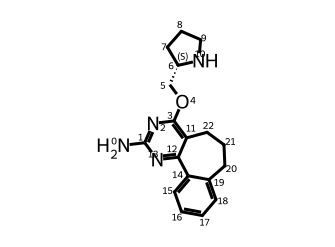 Nc1nc(OC[C@@H]2CCCN2)c2c(n1)-c1ccccc1CCC2